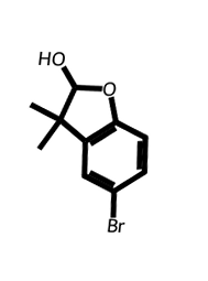 CC1(C)c2cc(Br)ccc2OC1O